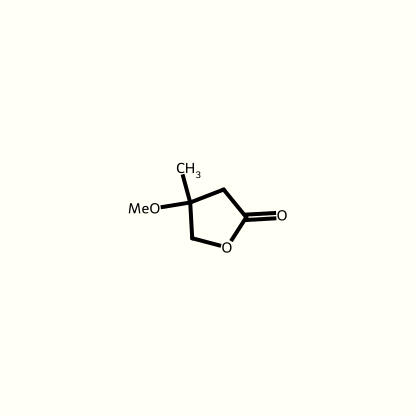 COC1(C)COC(=O)C1